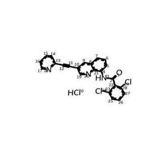 Cl.O=C(Nc1cccc2cc(C#Cc3ccccn3)cnc12)c1c(Cl)cccc1Cl